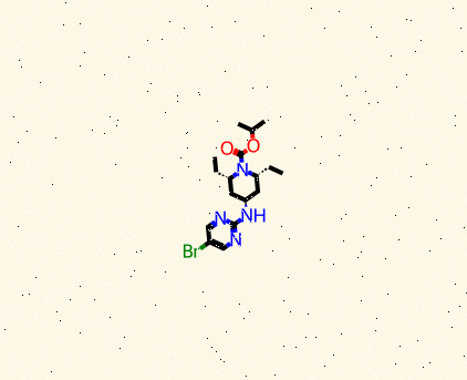 CC[C@@H]1C[C@H](Nc2ncc(Br)cn2)C[C@H](CC)N1C(=O)OC(C)C